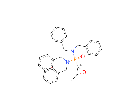 CC1O[C@H]1P(=O)(N(Cc1ccccc1)Cc1ccccc1)N(Cc1ccccc1)Cc1ccccc1